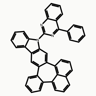 c1ccc(-c2nc(-n3c4ccccc4c4cc5c(cc43)-c3cccc4cccc(c34)-c3ccccc3-5)nc3ccccc23)cc1